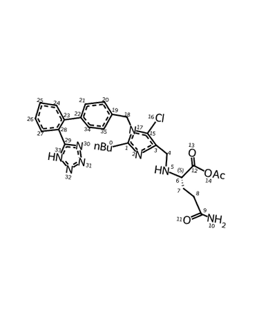 CCCCc1nc(CN[C@@H](CCC(N)=O)C(=O)OC(C)=O)c(Cl)n1Cc1ccc(-c2ccccc2-c2nnn[nH]2)cc1